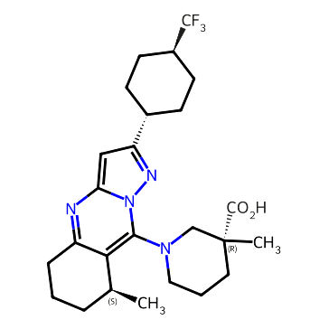 C[C@H]1CCCc2nc3cc([C@H]4CC[C@H](C(F)(F)F)CC4)nn3c(N3CCC[C@@](C)(C(=O)O)C3)c21